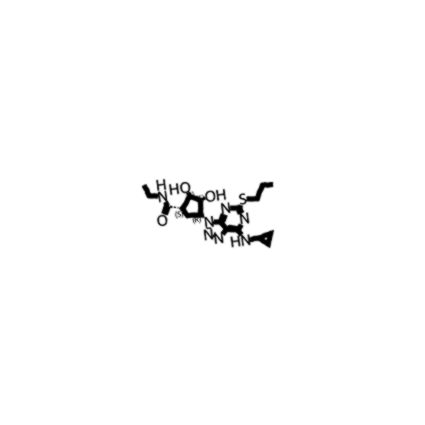 CCCSc1nc(NC2CC2)c2nnn([C@@H]3C[C@H](C(=O)NCC)[C@@H](O)[C@H]3O)c2n1